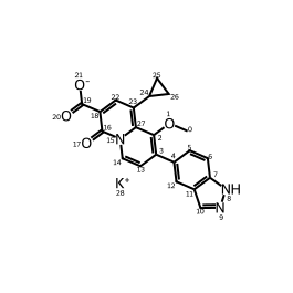 COc1c(-c2ccc3[nH]ncc3c2)ccn2c(=O)c(C(=O)[O-])cc(C3CC3)c12.[K+]